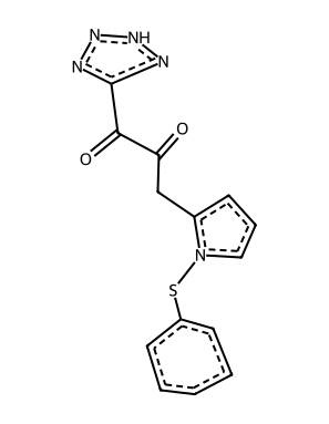 O=C(Cc1cccn1Sc1ccccc1)C(=O)c1nn[nH]n1